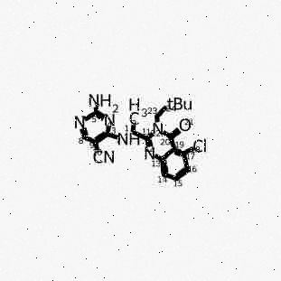 CC(Nc1nc(N)ncc1C#N)c1nc2cccc(Cl)c2c(=O)n1CC(C)(C)C